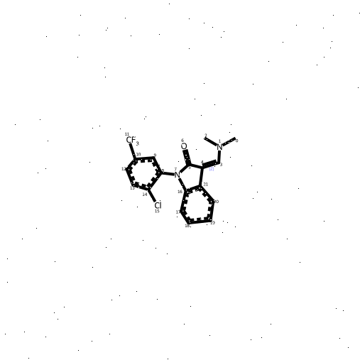 CN(C)/C=C1\C(=O)N(c2cc(C(F)(F)F)ccc2Cl)c2ccccc21